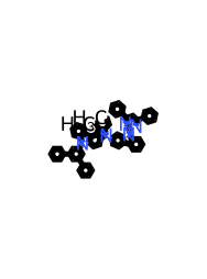 C=Cc1c(/C=C\C)n(-c2ccc3c4ccccc4n(-c4nc(-c5ccccc5)cc(-c5ccccc5)n4)c3c2)c2ccc3c(c4ccccc4n3-c3cc(-c4ccccc4)cc(-c4ccccc4)c3)c12